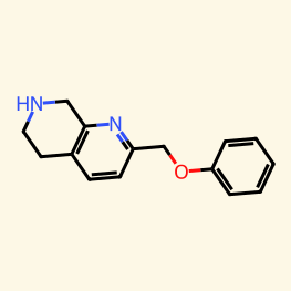 c1ccc(OCc2ccc3c(n2)CNCC3)cc1